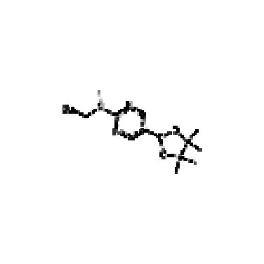 CCC(C)CN(C)c1ncc(B2OC(C)(C)C(C)(C)O2)cn1